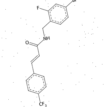 O=C(C=Cc1ccc(C(F)(F)F)cc1)NCc1ccc(Br)cc1F